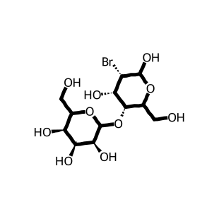 OCC1OC(O[C@H]2C(CO)OC(O)[C@@H](Br)[C@H]2O)[C@@H](O)[C@@H](O)[C@H]1O